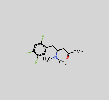 COC(=O)CC(Cc1cc(F)c(F)cc1F)N(C)C